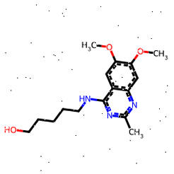 COc1cc2nc(C)nc(NCCCCCO)c2cc1OC